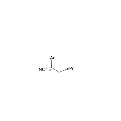 CCCC[C@H](C#N)C(C)=O